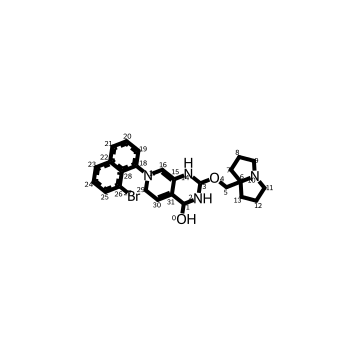 OC1NC(OCC23CCCN2CCC3)NC2=CN(c3cccc4cccc(Br)c34)CC=C21